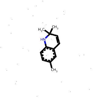 Cc1ccc2c(c1)C=CC(C)(C)N2